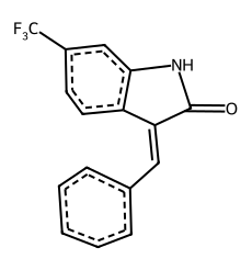 O=C1Nc2cc(C(F)(F)F)ccc2C1=Cc1ccccc1